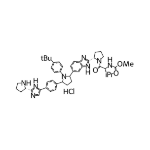 COC(=O)N[C@H](C(=O)N1CCC[C@H]1c1nc2ccc(C3CCC(c4ccc(-c5cnc([C@@H]6CCCN6)[nH]5)cc4)N3c3ccc(C(C)(C)C)cc3)cc2[nH]1)C(C)C.Cl